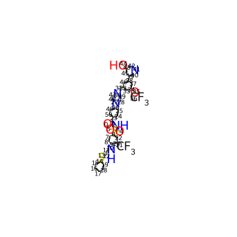 O=C(NS(=O)(=O)c1ccc(NCCSc2ccccc2)c(C(F)(F)F)c1)c1ccc(N2CCN(Cc3cc(OC(F)(F)F)cc(-c4cncc(O)c4)c3)CC2)cc1